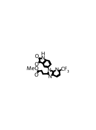 COC(=O)CCc1nc2ccc(C(F)(F)F)nc2n1-c1ccc2c(c1)C(=O)C(=O)N2